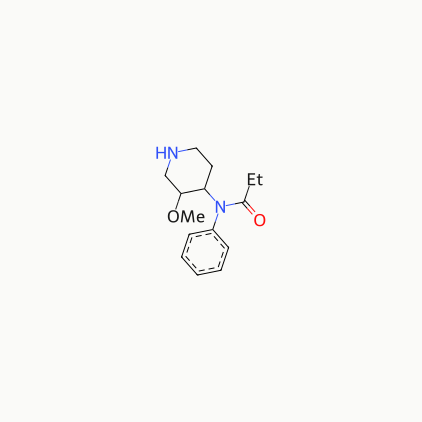 CCC(=O)N(c1ccccc1)C1CCNCC1OC